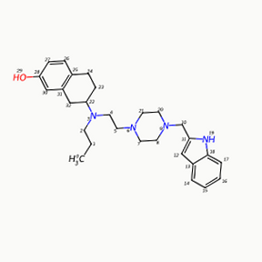 CCCN(CCN1CCN(Cc2cc3ccccc3[nH]2)CC1)C1CCc2ccc(O)cc2C1